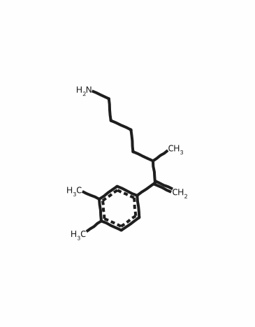 C=C(c1ccc(C)c(C)c1)C(C)CCCCN